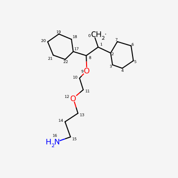 [CH2]C(C1CCCCC1)C(OCCOCCCN)C1CCCCC1